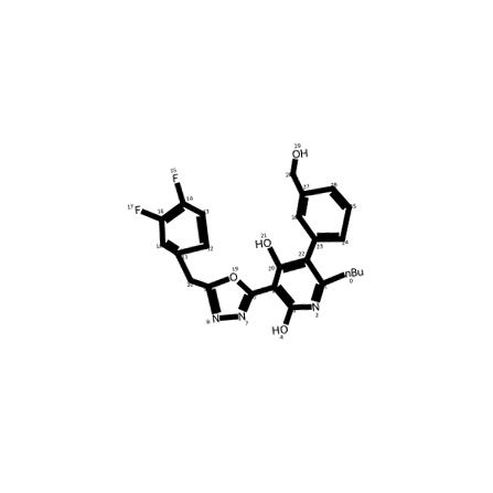 CCCCc1nc(O)c(-c2nnc(Cc3ccc(F)c(F)c3)o2)c(O)c1-c1cccc(CO)c1